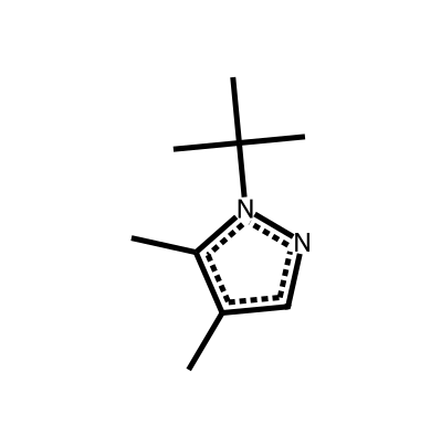 Cc1cnn(C(C)(C)C)c1C